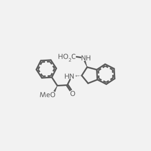 CO[C@H](C(=O)N[C@H]1Cc2ccccc2[C@@H]1NC(=O)O)c1ccccc1